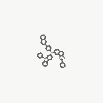 c1ccc(-c2nc3c(ccc4ccc(N(c5ccc(-c6ccc7ccccc7c6)cc5)c5ccc6c7ccccc7n(-c7ccccc7)c6c5)cc43)o2)cc1